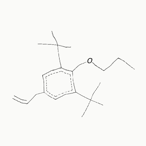 C=Cc1cc(C(C)(C)C)c(OCCC)c(C(C)(C)C)c1